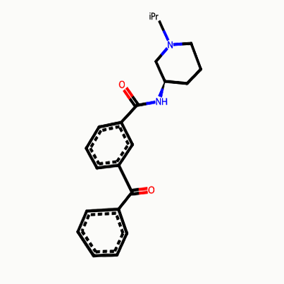 CC(C)N1CCC[C@@H](NC(=O)c2cccc(C(=O)c3ccccc3)c2)C1